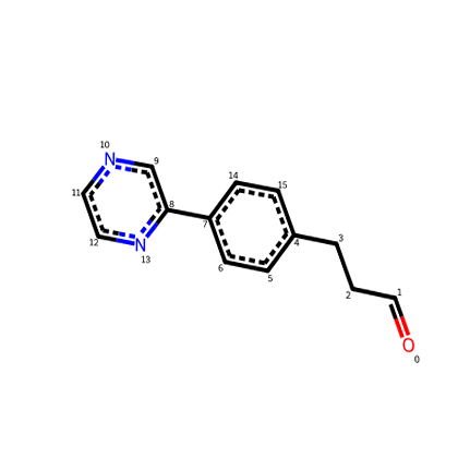 O=CCCc1ccc(-c2cnccn2)cc1